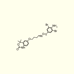 CC1(C)OC(=O)Nc2ccc(OCCCC=NOSc3cc(Br)c(N)c(Br)c3)cc21